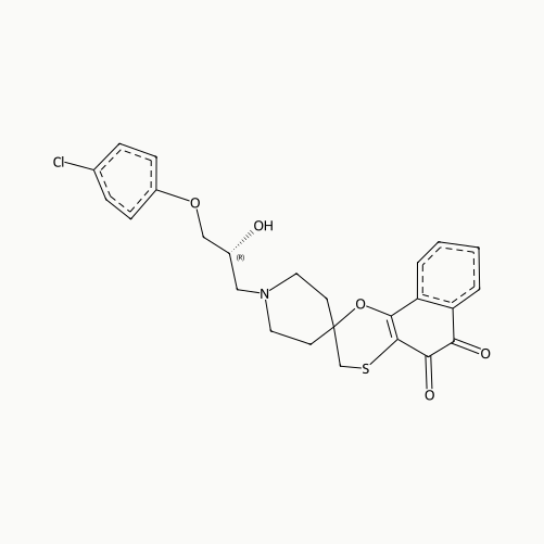 O=C1C(=O)c2ccccc2C2=C1SCC1(CCN(C[C@@H](O)COc3ccc(Cl)cc3)CC1)O2